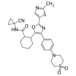 Cc1ncc(-c2nc(-c3ccc(N4CCS(=O)(=O)CC4)cc3)c(C3CCCCC3C(=O)NC3(C#N)CC3)o2)s1